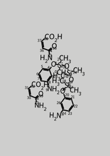 C[Si](C)(Oc1cccc(N)c1)O[Si](C)(C)O[Si](C)(C)Oc1cccc(N)c1.NC(=O)/C=C\C(=O)O.NC(=O)/C=C\C(=O)O